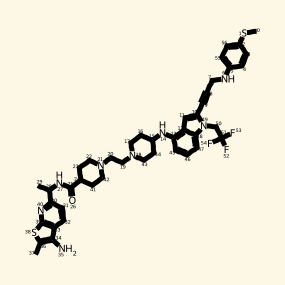 CSc1ccc(NCC#Cc2cc3c(NC4CCN(CCN5CCC(C(=O)NC(C)c6ccc7c(N)c(C)sc7n6)CC5)CC4)cccc3n2CC(F)(F)F)cc1